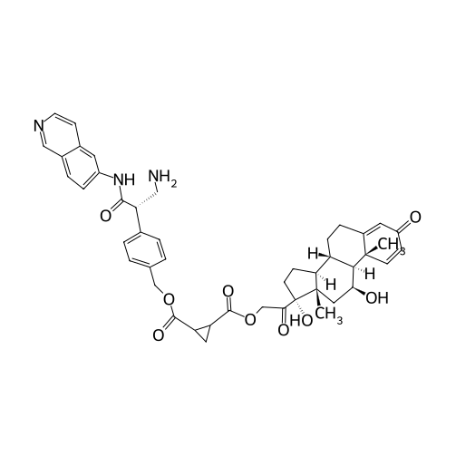 C[C@]12C=CC(=O)C=C1CC[C@@H]1[C@@H]2[C@@H](O)C[C@@]2(C)[C@H]1CC[C@]2(O)C(=O)COC(=O)C1CC1C(=O)OCc1ccc([C@@H](CN)C(=O)Nc2ccc3cnccc3c2)cc1